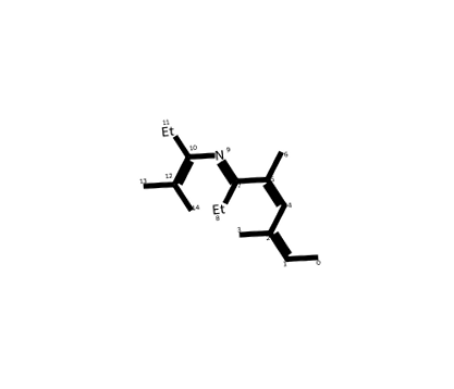 C\C=C(C)/C=C(C)\C(CC)=N\C(CC)=C(C)C